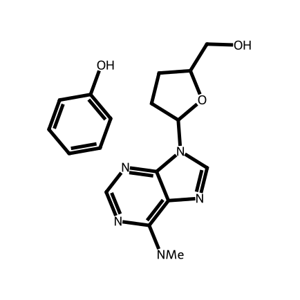 CNc1ncnc2c1ncn2C1CCC(CO)O1.Oc1ccccc1